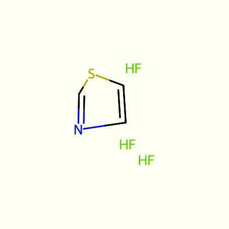 F.F.F.c1cscn1